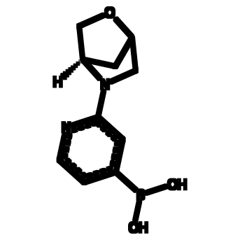 OB(O)c1ccnc(N2CC3C[C@@H]2CO3)c1